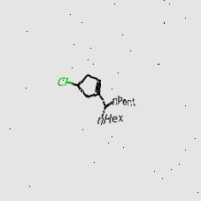 CCCCCCC(CCCCC)C1=CCC(Cl)C1